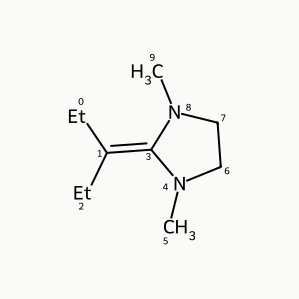 CCC(CC)=C1N(C)CCN1C